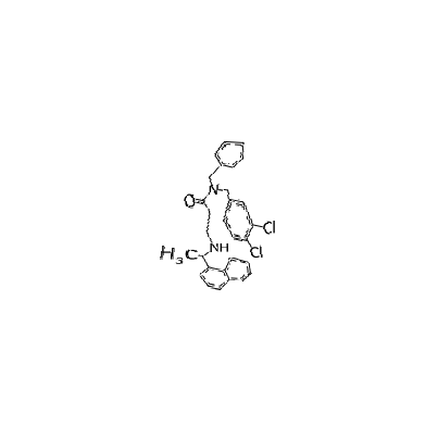 C[C@@H](NCCC(=O)N(Cc1ccccc1)Cc1ccc(Cl)c(Cl)c1)c1cccc2ccccc12